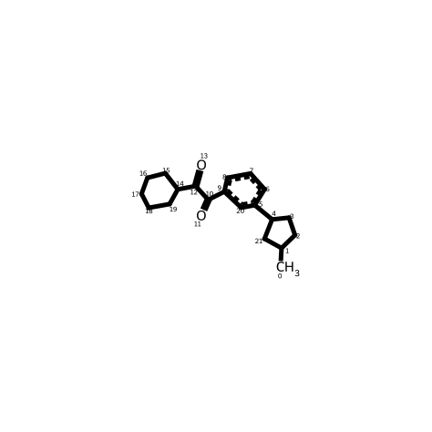 CC1CCC(c2cccc(C(=O)C(=O)C3CCCCC3)c2)C1